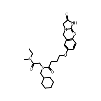 CCN(C)C(=O)CN(CC1CCCCC1)C(=O)CCCOc1ccc2c(c1)CN1CC(=O)NC1=N2